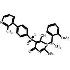 CCCCc1nc(=O)c(S(=O)(=O)c2ccc(-c3cccnc3C)cc2)c(O)n1[C@@H](C)c1ccccc1OC